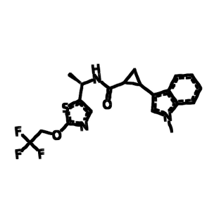 C[C@@H](NC(=O)C1CC1c1cn(C)c2ccccc12)c1cnc(OCC(F)(F)F)s1